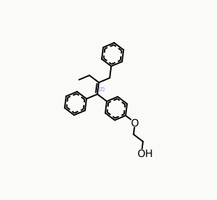 CC/C(Cc1ccccc1)=C(\c1ccccc1)c1ccc(OCCO)cc1